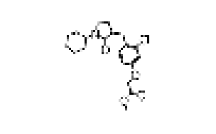 COC(=O)COc1ccc(CC2CCN(C3CCCCC3)C2=O)c(Cl)c1